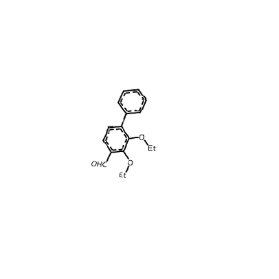 CCOc1c(C=O)ccc(-c2ccccc2)c1OCC